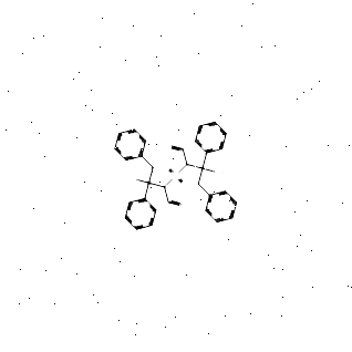 C=CC(C(O)(Cc1ccccc1)c1ccccc1)S(=O)(=O)C(C=C)C(O)(Cc1ccccc1)c1ccccc1